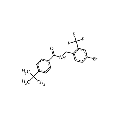 CC(C)(C)c1ccc(C(=O)NCc2ccc(Br)cc2C(F)(F)F)cc1